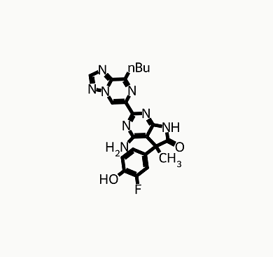 CCCCc1nc(-c2nc(N)c3c(n2)NC(=O)C3(C)c2ccc(O)c(F)c2)cn2ncnc12